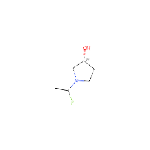 CC(F)N1CC[C@@H](O)C1